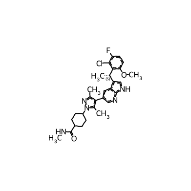 CNC(=O)C1CCC(n2nc(C)c(-c3cnc4[nH]cc([C@H](C)c5c(OC)ccc(F)c5Cl)c4c3)c2C)CC1